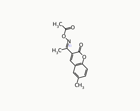 CC(=O)O/N=C(\C)c1cc2cc(C)ccc2oc1=O